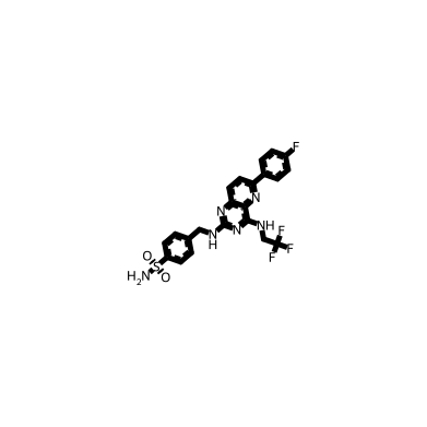 NS(=O)(=O)c1ccc(CNc2nc(NCC(F)(F)F)c3nc(-c4ccc(F)cc4)ccc3n2)cc1